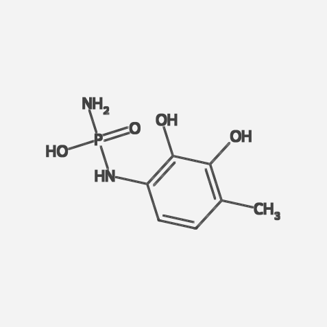 Cc1ccc(NP(N)(=O)O)c(O)c1O